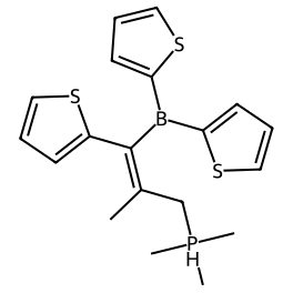 C/C(C[PH](C)(C)C)=C(/B(c1cccs1)c1cccs1)c1cccs1